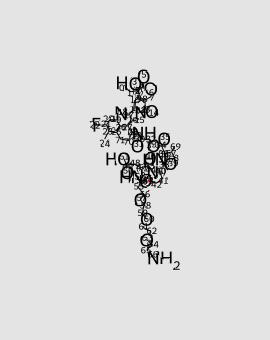 CC[C@@]1(O)C(=O)OCc2c1cc1n(c2=O)Cc2c-1nc1cc(F)c(C)c3c1c2[C@@H](NC(=O)COC(=O)[C@@H](NC(=O)[C@@H]1CCCN1C(=O)[C@H](CC(=O)O)NC(=O)CCOCCOCCOCCN)C(C)C)CC3